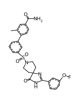 Cc1cc(C(N)=O)ccc1-c1cccc(S(=O)(=O)N2CCC3(CC2)N=C(c2cccc(OF)c2)NC3=O)c1